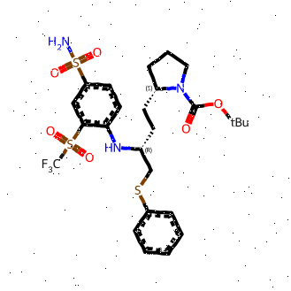 CC(C)(C)OC(=O)N1CCC[C@H]1CC[C@H](CSc1ccccc1)Nc1ccc(S(N)(=O)=O)cc1S(=O)(=O)C(F)(F)F